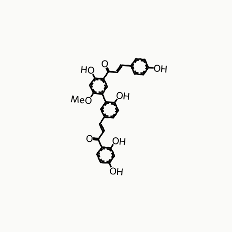 COc1cc(O)c(C(=O)/C=C/c2ccc(O)cc2)cc1-c1cc(/C=C/C(=O)c2ccc(O)cc2O)ccc1O